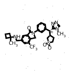 Cn1cnnc1[C@@H](c1cccc(N2Cc3c(cc(CNC4(C)CCC4)cc3C(F)(F)F)C2=O)c1)C1CCS(=O)(=O)C1